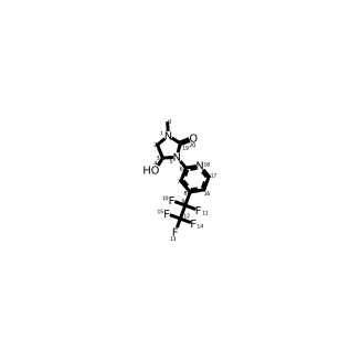 CN1CC(O)N(c2cc(C(F)(F)C(F)(F)F)ccn2)C1=O